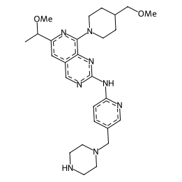 COCC1CCN(c2nc(C(C)OC)cc3cnc(Nc4ccc(CN5CCNCC5)cn4)nc23)CC1